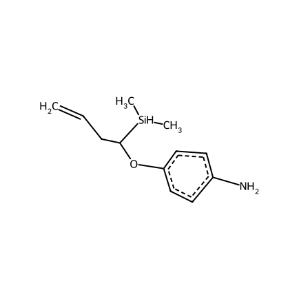 C=CCC(Oc1ccc(N)cc1)[SiH](C)C